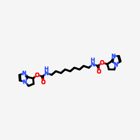 O=C(NCCCCCCCCCNC(=O)OC1CCn2ccnc21)OC1CCn2ccnc21